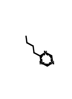 CCCCc1ncncn1